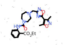 CCOC(=O)c1ccccc1NC(=O)N1CCCN(Cc2noc(-c3c(C)noc3C)n2)CC1